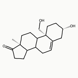 C[C@]12CCC3C(CC=C4C[C@@H](O)CC[C@@]43CO)C1CCC2=O